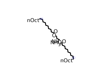 CCCCCCCC/C=C\CCCCCCCC(=O)OCCCOC(=O)CCCCCCC/C=C\CCCCCCCC.N.N